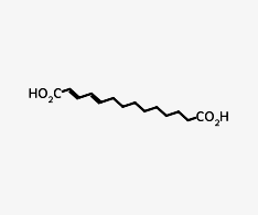 O=C(O)C=CC=CCCCCCCCCC(=O)O